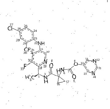 C[C@H](NC(=O)C1(NC(=O)Oc2cncnc2)CC1)c1ncc(Nc2ccc(Cl)cc2C(F)(F)F)cc1F